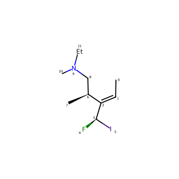 C/C=C(/[C@H](F)I)[C@@H](C)CN(C)CC